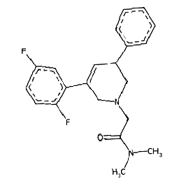 CN(C)C(=O)CN1CC(c2cc(F)ccc2F)=CC(c2ccccc2)C1